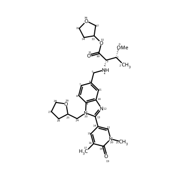 CO[C@H](C)[C@H](NCc1ccc2c(c1)nc(-c1cc(C)c(=O)n(C)c1)n2CC1CCCO1)C(=O)OC1CCOC1